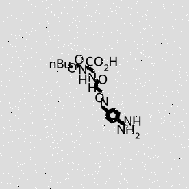 CCCCOC(=O)NC(CNC(=O)CCO/N=C/c1ccc(C(=N)N)cc1)C(=O)O